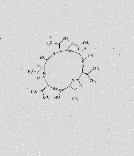 CC(C)[C@@H]1N=C(O)[C@H]2N=C(O[C@@H]2C)[C@H](C(C)C)N=C(O)[C@H]2N=C(O[C@@H]2C)[C@H](C(C)C)N=C(O)[C@H]2N=C1O[C@@H]2C